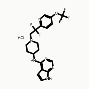 Cl.FC(F)(F)Oc1ccc(C(F)(F)CN2CCC(Nc3ncnc4[nH]ccc34)CC2)nc1